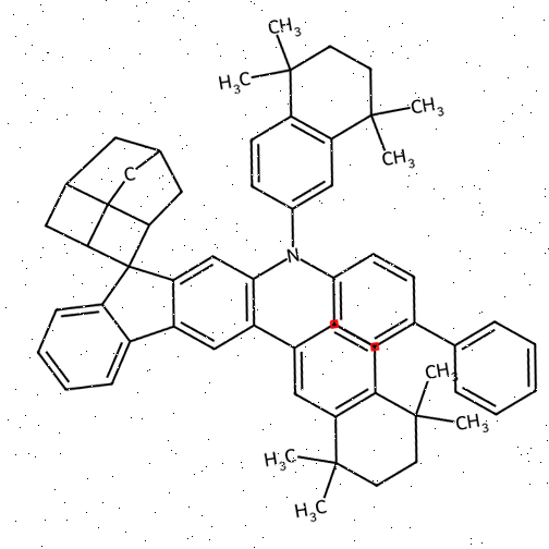 CC1(C)CCC(C)(C)c2cc(-c3cc4c(cc3N(c3ccc(-c5ccccc5)cc3)c3ccc5c(c3)C(C)(C)CCC5(C)C)C3(c5ccccc5-4)C4CC5CC6CC3C64C5)ccc21